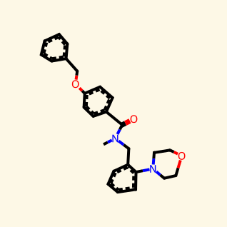 CN(Cc1ccccc1N1CCOCC1)C(=O)c1ccc(OCc2ccccc2)cc1